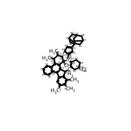 Cc1cc2c(c(C)c1C)C(C)c1c3c(c4ccccc4c1-2)C(C)C(C)C(C)[C]3(C)[Zr+2]([C]1=CC(C23CC4CC(CC(C4)C2)C3)=CC1)=[C]1CCCCC1.[Cl-].[Cl-]